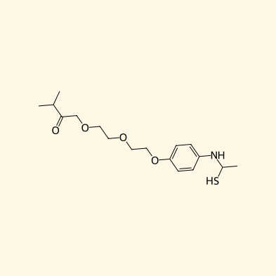 CC(S)Nc1ccc(OCCOCCOCC(=O)C(C)C)cc1